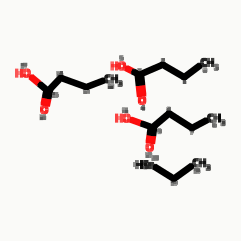 CCCC(=O)O.CCCC(=O)O.CCCC(=O)O.C[CH2][SnH]